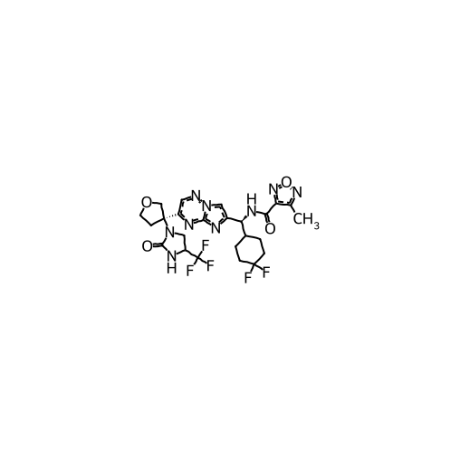 Cc1nonc1C(=O)N[C@H](c1cn2ncc([C@]3(N4CC(C(F)(F)F)NC4=O)CCOC3)nc2n1)C1CCC(F)(F)CC1